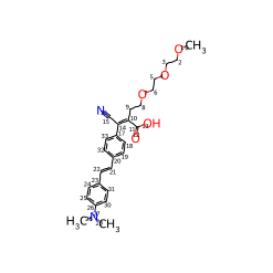 COCCOCCOCC/C(C(=O)O)=C(\C#N)c1ccc(/C=C/c2ccc(N(C)C)cc2)cc1